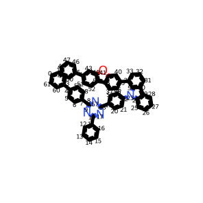 c1ccc(-c2ccc(-c3nc(-c4ccccc4)nc(-c4ccc(-n5c6ccccc6c6cccc(-c7ccc8c(c7)oc7cc(-c9ccccc9)ccc78)c65)cc4)n3)cc2)cc1